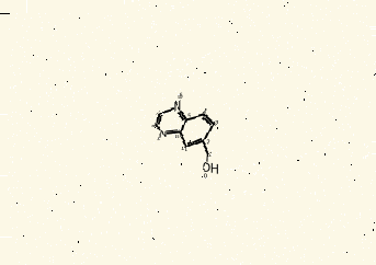 OCc1ccc2nccnc2c1